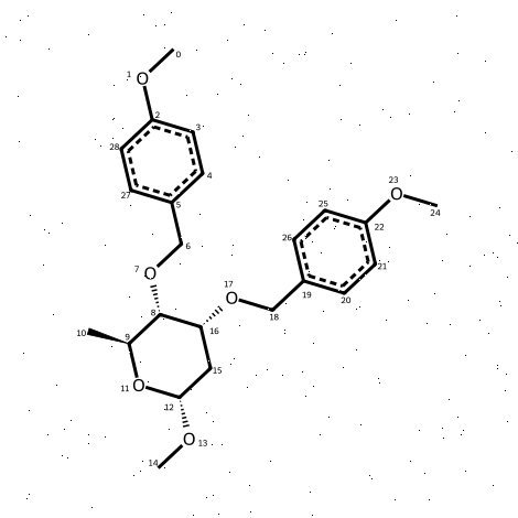 COc1ccc(CO[C@H]2[C@H](C)O[C@@H](OC)C[C@H]2OCc2ccc(OC)cc2)cc1